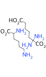 NC(N)(CCCCC(=O)O)C(=O)O.NCCCCC(N)C(=O)O